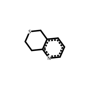 c1cnc2c(c1)CSCC2